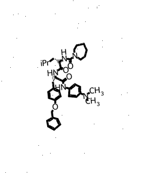 CC(C)C[C@H](NC(=O)N1CCCCCC1)C(=O)N[C@@H](Cc1ccc(OCc2ccccc2)cc1)C(=O)Nc1ccc(N(C)C)cc1